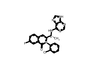 C[C@@H](Nc1ncnc2[nH]cnc12)c1cc2ccc(F)cc2c(=O)n1-c1ccccc1Cl